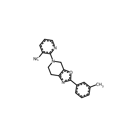 Cc1cccc(-c2nc3c(o2)CN(c2ncccc2C#N)CC3)c1